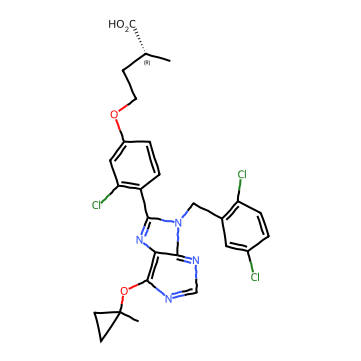 C[C@H](CCOc1ccc(-c2nc3c(OC4(C)CC4)ncnc3n2Cc2cc(Cl)ccc2Cl)c(Cl)c1)C(=O)O